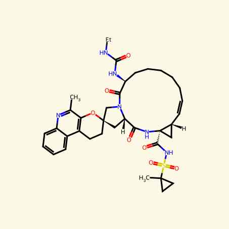 CCNC(=O)N[C@H]1CCCCC/C=C\[C@@H]2C[C@@]2(C(=O)NS(=O)(=O)C2(C)CC2)NC(=O)[C@@H]2C[C@]3(CCc4c(c(C)nc5ccccc45)O3)CN2C1=O